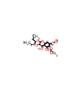 CCCC(CC)OC1C(=O)Oc2cc(=C=O)c(OC)c(O)c2=C1O